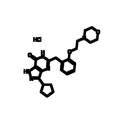 Cl.O=c1[nH]c(Cc2ccccc2OCCN2CCOCC2)nc2c(C3CCCC3)n[nH]c12